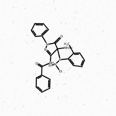 CCN(CC)N(c1ccccc1C)C1(NC(C)=O)C(=O)N(c2ccccc2)N=C1NC(=O)c1ccccc1